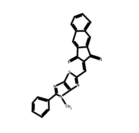 Cn1c(-c2ccccc2)nc2sc(C=C3C(=S)c4cc5ccccc5cc4C3=S)nc21